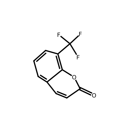 O=c1ccc2cccc(C(F)(F)F)c2o1